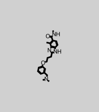 CNC(=O)c1ccc2[nH]c(CCCOc3cccc(CN(C)C)c3)nc2c1C